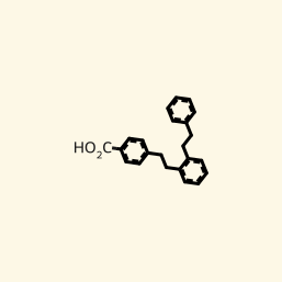 O=C(O)c1ccc(CCc2ccccc2CCc2ccccc2)cc1